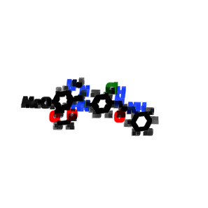 COc1cc2ncnc(Nc3ccc(NC(=O)NC4CCCCC4)c(Cl)c3)c2c2c1OCCO2